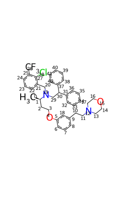 C[C@H](CCOc1cccc(CCN2CCOCC2)c1)N(Cc1cccc(C(F)(F)F)c1Cl)CC(c1ccccc1)c1ccccc1